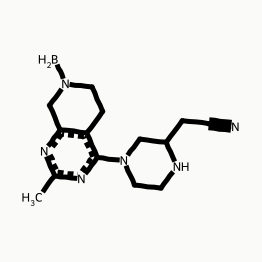 BN1CCc2c(nc(C)nc2N2CCNC(CC#N)C2)C1